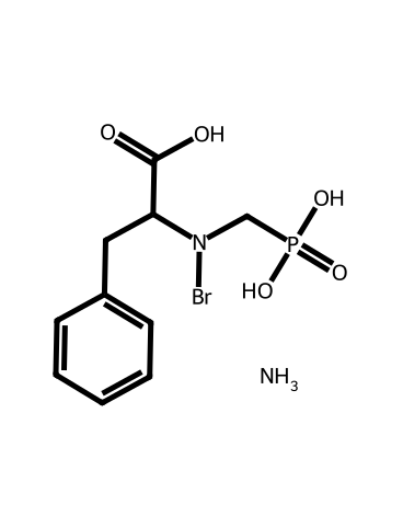 N.O=C(O)C(Cc1ccccc1)N(Br)CP(=O)(O)O